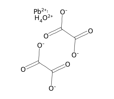 O=C([O-])C(=O)[O-].O=C([O-])C(=O)[O-].[OH4+2].[Pb+2]